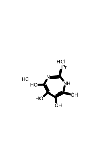 CC(C)C1=NC(O)=C(O)C(O)=C(O)N1.Cl.Cl